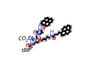 CCOC(=O)CN(C(=O)Cn1ccc(=O)[nH]c1=O)C(CNC(=O)OC(C)(C)C)COCCCCCNC(=O)CCCc1ccc2ccc3cccc4ccc1c2c34.c1cc2ccc3cccc4ccc(c1)c2c34